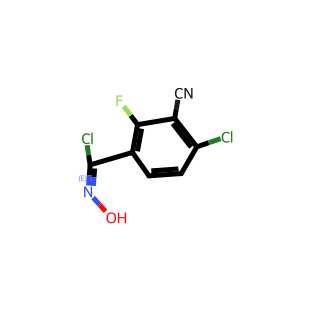 N#Cc1c(Cl)ccc(/C(Cl)=N\O)c1F